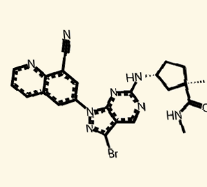 CNC(=O)[C@]1(C)CC[C@@H](Nc2ncc3c(Br)nn(-c4cc(C#N)c5ncccc5c4)c3n2)C1